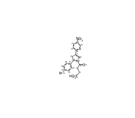 O=C(O)CCC(=O)N1N=C(c2ccc([N+](=O)[O-])cc2)CC1c1ccc(Br)cc1